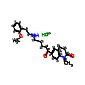 COc1ccccc1CCNCCCCC(=O)c1ccc2c(c1)CCC(=O)N2C.Cl